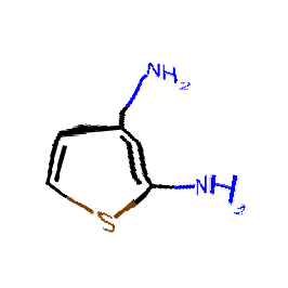 Nc1ccsc1N